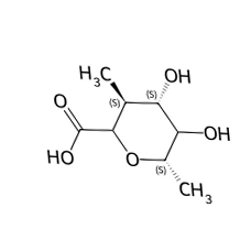 C[C@@H]1OC(C(=O)O)[C@@H](C)[C@H](O)C1O